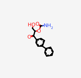 NC(=O)OC(CO)C(=O)c1ccc(-c2ccccc2)cc1